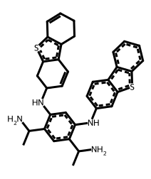 CC(N)c1cc(C(C)N)c(NC2C=Cc3c(sc4c3CCC=C4)C2)cc1Nc1ccc2c(c1)sc1ccccc12